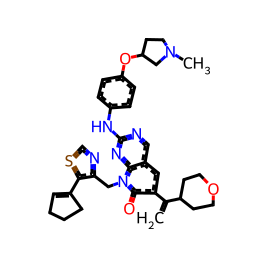 C=C(c1cc2cnc(Nc3ccc(OC4CCN(C)C4)cc3)nc2n(Cc2ncsc2C2=CCCC2)c1=O)C1CCOCC1